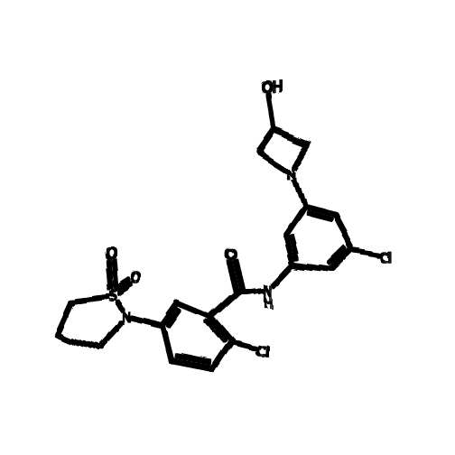 O=C(Nc1cc(Cl)cc(N2CC(O)C2)c1)c1cc(N2CCCS2(=O)=O)ccc1Cl